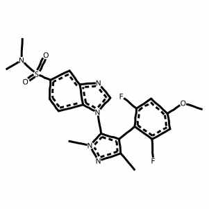 COc1cc(F)c(-c2c(C)nn(C)c2-n2cnc3cc(S(=O)(=O)N(C)C)ccc32)c(F)c1